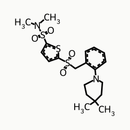 CN(C)S(=O)(=O)c1ccc(S(=O)(=O)Cc2ccccc2N2CCC(C)(C)CC2)s1